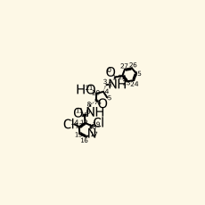 O=C(NC[C@@H]1CO[C@H](CNC(=O)c2c(Cl)ccnc2Cl)[C@H]1O)c1ccccc1